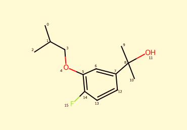 CC(C)COc1cc(C(C)(C)O)ccc1F